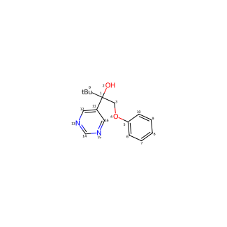 CC(C)(C)C(O)(COc1ccccc1)c1cncnc1